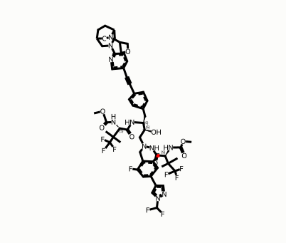 COC(=O)N[C@H](C(=O)N[C@@H](Cc1ccc(C#Cc2ccc(N3CC4CCC(C3)N(C3COC3)C4)nc2)cc1)[C@@H](O)CN(Cc1c(F)cc(-c2cnn(C(F)F)c2)cc1F)NC(=O)[C@@H](NC(=O)OC)C(C)(C)C(F)(F)F)C(C)(C)C(F)(F)F